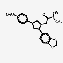 CCCN(C)C(=O)CN1CC(c2ccc(OC)cc2)CC1c1ccc2c(c1)OCO2